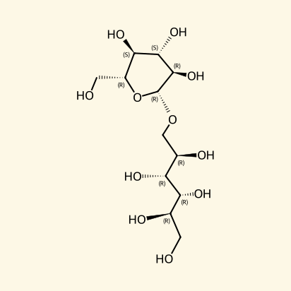 OC[C@@H](O)[C@@H](O)[C@H](O)[C@H](O)CO[C@@H]1O[C@H](CO)[C@@H](O)[C@H](O)[C@H]1O